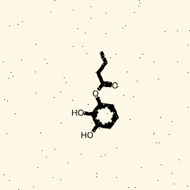 CC[CH]C(=O)Oc1cccc(O)c1O